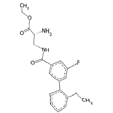 CCOC(=O)[C@H](N)CNC(=O)c1cc(F)cc(-c2ccccc2CC)c1